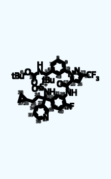 CC(C)(C)OC(=O)NCc1cccc(-n2nc(C(F)(F)F)cc2C(=O)Nc2cc(C(CCC3CC3)(N[S@@+]([O-])C(C)(C)C)c3cccnc3)ccc2F)c1